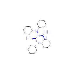 N=C(N)N(C(=N)N(C1CCCCC1)C1CCCCC1)N(C1CCCCC1)C1CCCCC1